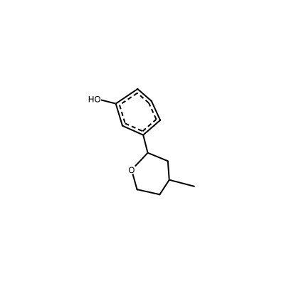 CC1CCOC(c2cccc(O)c2)C1